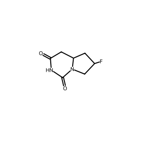 O=C1CC2CC(F)CN2C(=O)N1